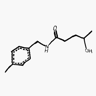 Cc1ccc(CNC(=O)CCC(C)O)cc1